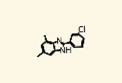 Cc1cc(C)c2nc(-c3cccc(Cl)c3)[nH]c2c1